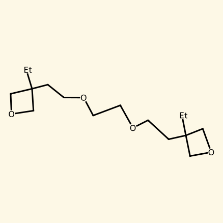 CCC1(CCOCCOCCC2(CC)COC2)COC1